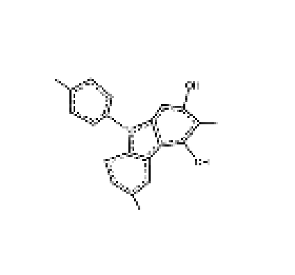 Cc1ccc(-n2c3ccc(C)cc3c3c(O)c(C)c(O)cc32)cc1